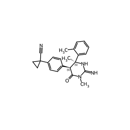 Cc1ccccc1[C@@]1(C)NC(=N)N(C)C(=O)[C@H]1c1ccc(C2(C#N)CC2)cc1